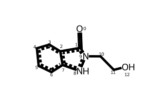 O=c1c2ccccc2[nH]n1CCO